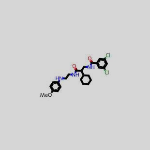 COc1ccc(NCCNC(=O)C(CNC(=O)c2cc(Cl)cc(Cl)c2)C2CCCCC2)cc1